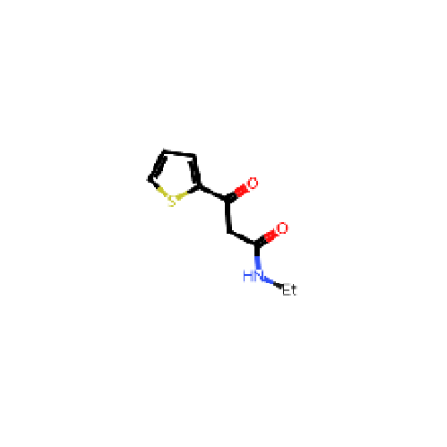 CCNC(=O)CC(=O)c1cccs1